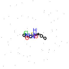 Cc1cccc(Cl)c1NC(=O)c1ccc2nc(NC(=O)[C@@H]3C[C@H]3c3ccc(-c4ccccc4)cc3)sc2c1